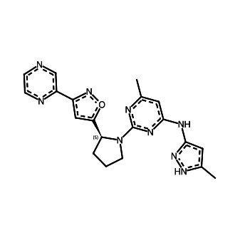 Cc1cc(Nc2cc(C)[nH]n2)nc(N2CCC[C@H]2c2cc(-c3cnccn3)no2)n1